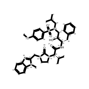 COc1ccc(S(=O)(=O)N(CC(C)C)C[C@H](O)[C@H](Cc2ccccc2)NC(=O)[C@H](C(C)C)N2CCN(Cc3nc4ccccc4n3C)C2=O)cc1